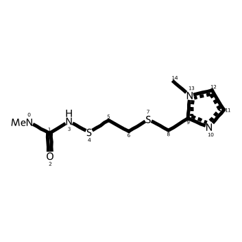 CNC(=O)NSCCSCc1nccn1C